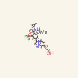 COc1cc(-c2cnc3cc(OCCO)ccn23)cc(OC(F)F)c1C(=O)NC1CC1